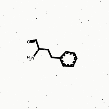 NC(C=O)CCc1cc[c]cc1